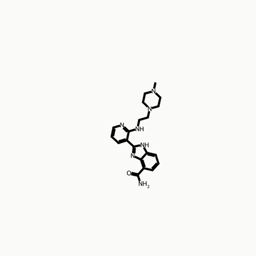 CN1CCN(CCNc2ncccc2-c2nc3c(C(N)=O)cccc3[nH]2)CC1